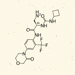 NC[C@@H](NC(=O)NC1CCC1)C(=O)Nc1ccc(N2CCOCC2=O)cc1C(F)(F)F